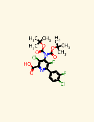 CC(C)(C)OC(=O)N(C(=O)OC(C)(C)C)c1c(F)c(-c2ccc(Cl)c(F)c2)nc(C(=O)O)c1Cl